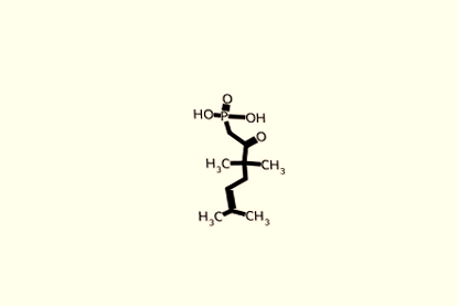 CC(C)=CCC(C)(C)C(=O)CP(=O)(O)O